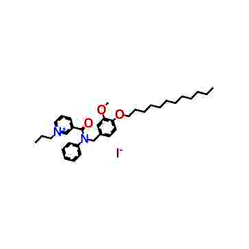 CCCCCCCCCCCCOc1ccc(CN(C(=O)c2ccc[n+](CCC)c2)c2ccccc2)cc1OC.[I-]